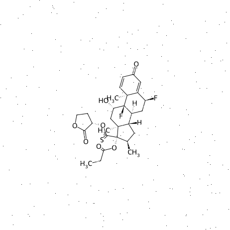 CCC(=O)O[C@@]1(C(=S)O[C@H]2CCOC2=O)[C@H](C)C[C@H]2[C@@H]3C[C@H](F)C4=CC(=O)C=C[C@]4(C)[C@@]3(F)[C@@H](O)C[C@@]21C